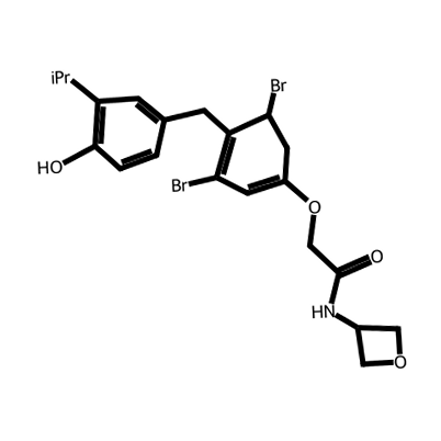 CC(C)c1cc(CC2=C(Br)C=C(OCC(=O)NC3COC3)CC2Br)ccc1O